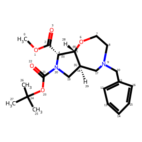 COC(=O)[C@@H]1[C@@H]2OCCN(Cc3ccccc3)C[C@H]2CN1C(=O)OC(C)(C)C